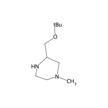 CN1CCNC(COC(C)(C)C)C1